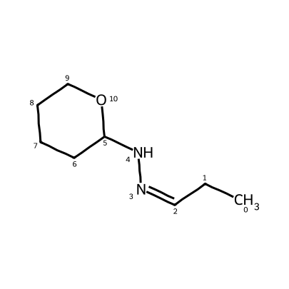 CC/C=N\NC1CCCCO1